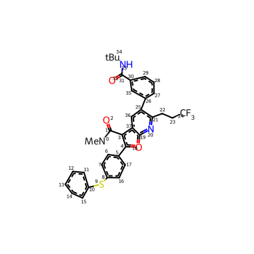 CNC(=O)c1c(-c2ccc(Sc3ccccc3)cc2)oc2nc(CCC(F)(F)F)c(-c3cccc(C(=O)NC(C)(C)C)c3)cc12